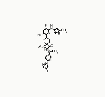 COC1(C(=O)N[C@@H](C)c2ccc(-n3cc(F)cn3)nc2)CCC(c2nc(Nc3cc(C)[nH]n3)c(F)cc2C#N)CC1